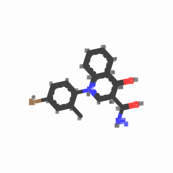 Cc1cc(Br)ccc1-n1cc(C(N)=O)c(=O)c2ccccc21